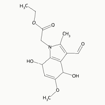 CCOC(=O)Cn1c(C)c(C=O)c2c1C(O)C=C(OC)C2O